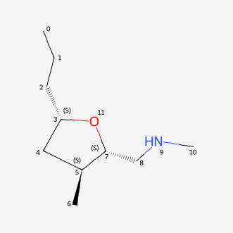 CCC[C@H]1C[C@H](C)[C@@H](CNC)O1